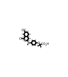 CN(c1ccc(OC(C)(C)C(=O)O)cc1)c1cc2ccc(Cl)cc2c(Cl)n1